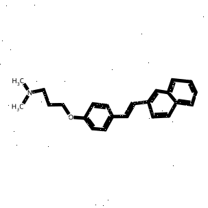 CN(C)CCCOc1ccc(/C=C/c2ccc3ccccc3c2)cc1